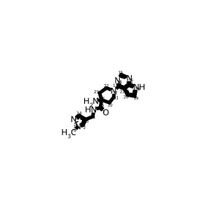 Cn1cc(CNC(=O)C2(N)CCN(c3ncnc4[nH]ccc34)CC2)cn1